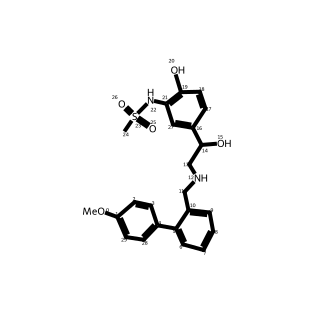 COc1ccc(-c2ccccc2CNCC(O)c2ccc(O)c(NS(C)(=O)=O)c2)cc1